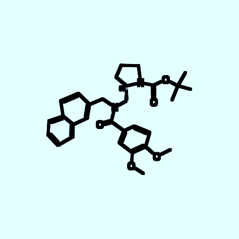 COc1ccc(C(=O)N(Cc2ccc3ccccc3c2)C[C@@H]2CCCN2C(=O)OC(C)(C)C)cc1OC